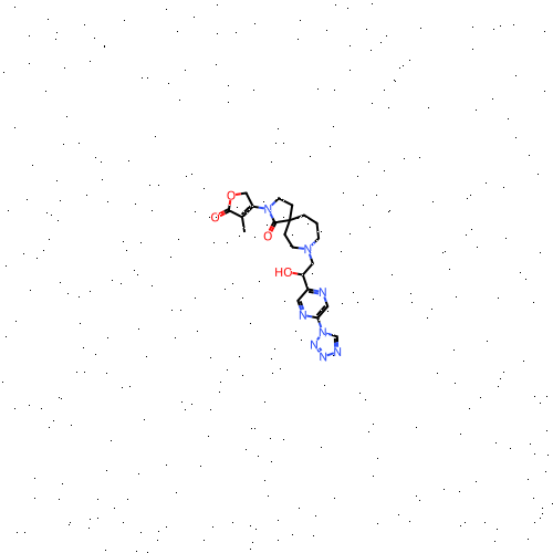 CC1=C(N2CCC3(CCCN(CC(O)c4cnc(-n5cnnn5)cn4)CC3)C2=O)COC1=O